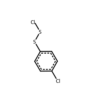 ClSSc1ccc(Cl)cc1